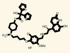 COc1cc(OCCCCN(C)C2CCC(OC(=O)C(O)(c3cccs3)c3cccs3)CC2)c(Cl)cc1CNC[C@@H](O)c1ccc(O)c2[nH]c(=O)ccc12.F